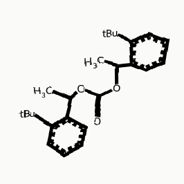 CC(OC(=O)OC(C)c1ccccc1C(C)(C)C)c1ccccc1C(C)(C)C